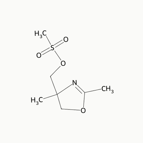 CC1=NC(C)(COS(C)(=O)=O)CO1